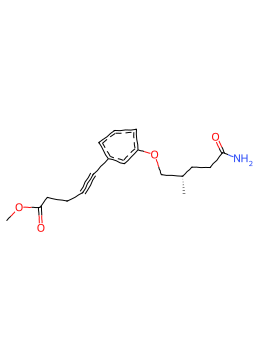 COC(=O)CCC#Cc1cccc(OC[C@@H](C)CCC(N)=O)c1